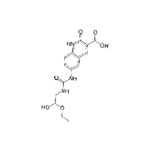 CCOC(O)CNC(=O)Nc1ccc2[nH]c(=O)c(C(=O)O)cc2c1